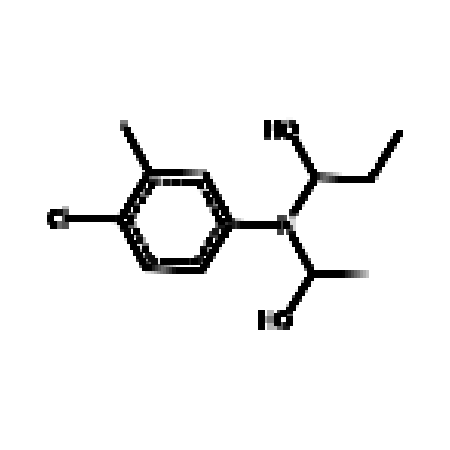 CCC(O)N(c1ccc(Cl)c(C)c1)C(C)O